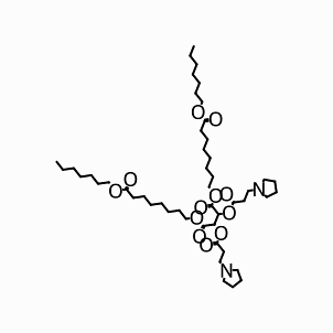 CCCCCCCOC(=O)CCCCCCCOC(=O)C(OC(=O)CCN1CCCC1)C(OC(=O)CCN1CCCC1)C(=O)OCCCCCCCC(=O)OCCCCCCC